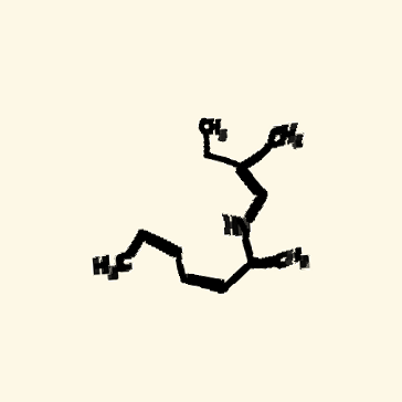 C=C(/C=C\C=C/C)N/C=C(/C)CC